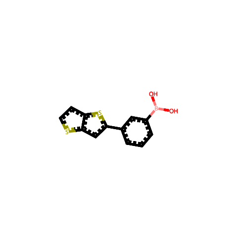 OB(O)c1cccc(-c2cc3sccc3s2)c1